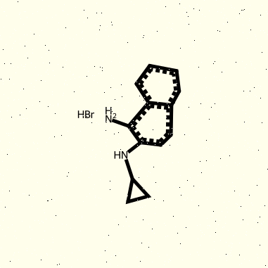 Br.Nc1c(NC2CC2)ccc2ccccc12